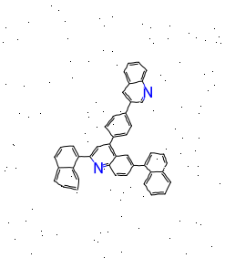 c1ccc2ncc(-c3ccc(-c4cc(-c5cccc6ccccc56)nc5ccc(-c6cccc7ccccc67)cc45)cc3)cc2c1